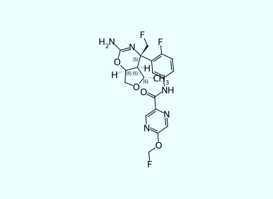 C[C@@H]1OC[C@H]2OC(N)=N[C@](CF)(c3cc(NC(=O)c4cnc(OCF)cn4)ccc3F)[C@@H]12